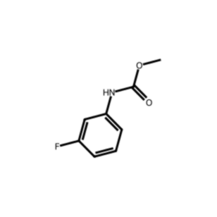 COC(=O)Nc1cccc(F)c1